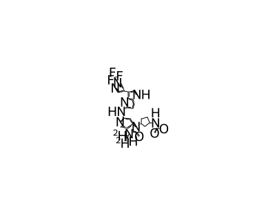 [2H]C([2H])([2H])n1c(=O)n([C@@H]2CC[C@@H](NC(=O)OC)C2)c2cc(Nc3ccc4[nH]cc(-c5cnn(C(F)(F)F)c5)c4n3)ncc21